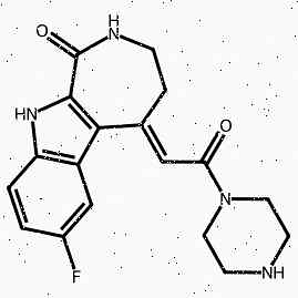 O=C1NCC/C(=C\C(=O)N2CCNCC2)c2c1[nH]c1ccc(F)cc21